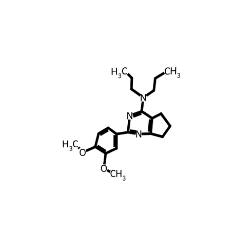 CCCN(CCC)c1nc(-c2ccc(OC)c(OC)c2)nc2c1CCC2